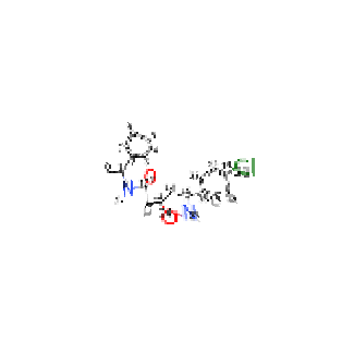 CC(c1ccccc1)N(C)C(=O)CC1CC(c2ccc(Cl)cc2)=NO1